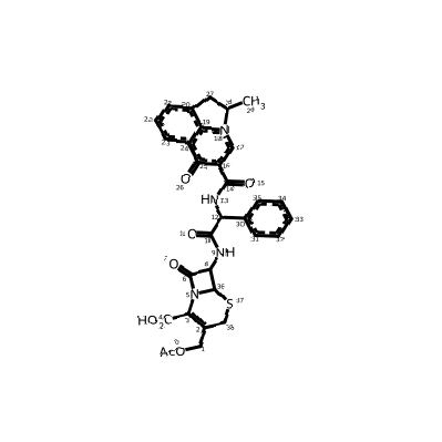 CC(=O)OCC1=C(C(=O)O)N2C(=O)C(NC(=O)C(NC(=O)c3cn4c5c(cccc5c3=O)CC4C)c3ccccc3)C2SC1